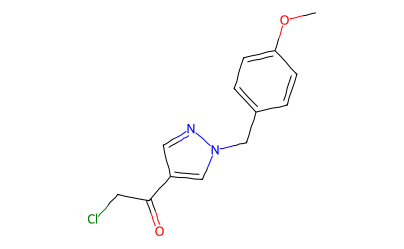 COc1ccc(Cn2cc(C(=O)CCl)cn2)cc1